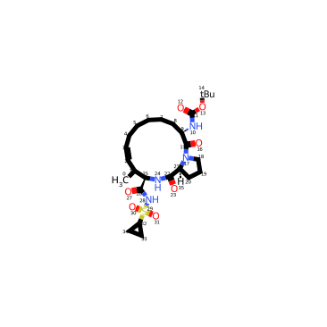 CC1/C=C\CCCCC[C@H](NC(=O)OC(C)(C)C)C(=O)N2CCC[C@H]2C(=O)N[C@H]1C(=O)NS(=O)(=O)C1CC1